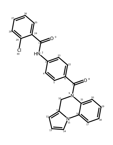 O=C(Nc1ccc(C(=O)N2Cc3cccn3-c3ccccc32)cc1)c1ccccc1Cl